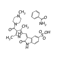 Cc1[nH]c(C=C2C(=O)Nc3ccc(S(=O)(=O)O)cc32)c(C)c1C(=O)N1CCN(C)CC1.NC(=O)c1ccccc1